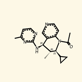 CC(=O)N1c2ccncc2[C@H](Nc2nccc(C)n2)[C@@H](C)[C@@H]1C1CC1